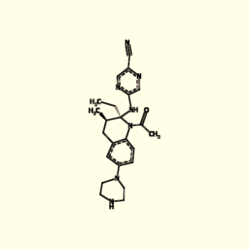 CC[C@@]1(Nc2cnc(C#N)cn2)[C@H](C)Cc2cc(N3CCNCC3)ccc2N1C(C)=O